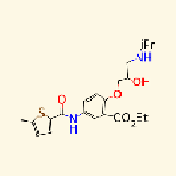 CCOC(=O)c1cc(NC(=O)c2ccc(C)s2)ccc1OCC(O)CNC(C)C